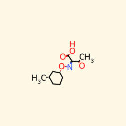 CC(=O)/C(=N/O[C@@H]1CCC[C@@H](C)C1)C(=O)O